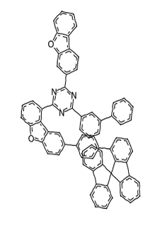 c1ccc(-c2cccc(-c3nc(-c4ccc5c(c4)oc4ccccc45)nc(-c4cccc5oc6ccc(-c7ccc(-c8cccc9c8C8(c%10ccccc%10-c%10ccccc%108)c8ccccc8-9)cc7)cc6c45)n3)c2)cc1